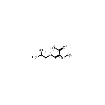 COC(=COCC(C)C)C(N)=O